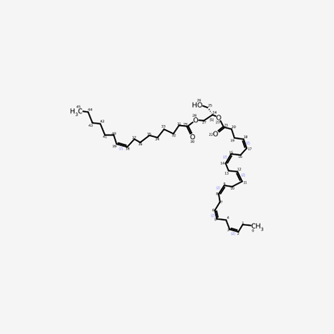 CC/C=C\C/C=C\C/C=C\C/C=C\C/C=C\C/C=C\CCC(=O)O[C@@H](CO)COC(=O)CCCCCCC/C=C\CCCCCC